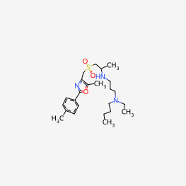 CCCCN(CC)CCCNC(C)CS(=O)(=O)Cc1nc(-c2ccc(C)cc2)oc1C